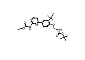 CCOC(=O)Nc1nccc(-c2ccc(OCNC(=O)OC(C)(C)C)c(C(F)(F)F)c2)n1